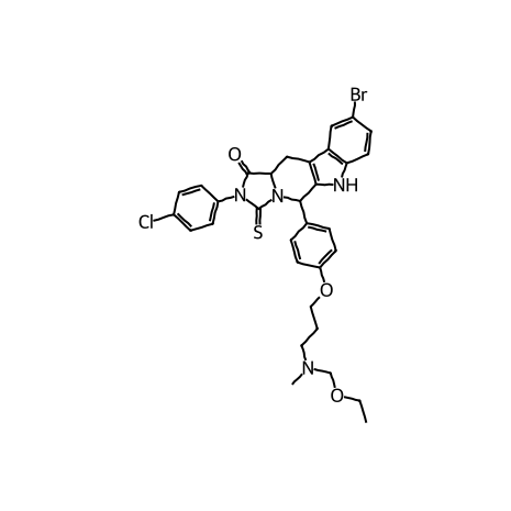 CCOCN(C)CCCOc1ccc(C2c3[nH]c4ccc(Br)cc4c3CC3C(=O)N(c4ccc(Cl)cc4)C(=S)N32)cc1